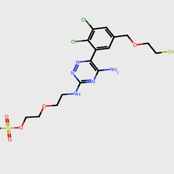 CS(=O)(=O)OCCOCCNc1nnc(-c2cc(COCCS)cc(Cl)c2Cl)c(N)n1